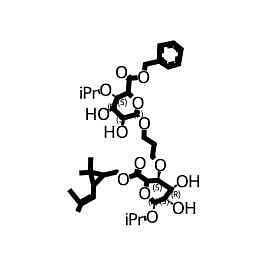 CC(C)=CC1C(COC(=O)C2O[C@@H](OC(C)C)[C@@H](O)[C@@H](O)[C@@H]2OCCCO[C@@H]2OC(C(=O)OCc3ccccc3)[C@@H](OC(C)C)[C@H](O)[C@@H]2O)C1(C)C